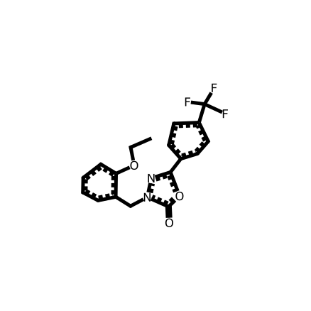 CCOc1ccccc1Cn1nc(-c2ccc(C(F)(F)F)cc2)oc1=O